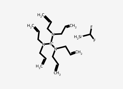 C=CCN(CC=C)[S+](N(CC=C)CC=C)N(CC=C)CC=C.FC(F)[SiH2-]